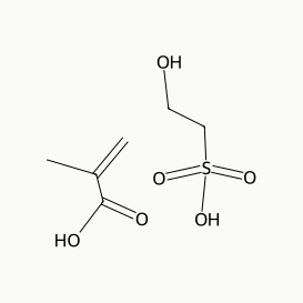 C=C(C)C(=O)O.O=S(=O)(O)CCO